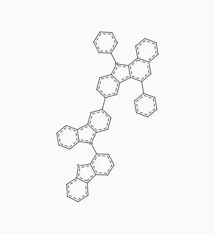 c1ccc(-c2cc3ccccc3c3c2c2cc(-c4ccc5c(c4)c4ccccc4n5-c4cccc5c4sc4ccccc45)ccc2n3-c2ccccc2)cc1